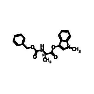 C[C@H](NC(=O)OCc1ccccc1)C(=O)Oc1cn(C)c2ccccc12